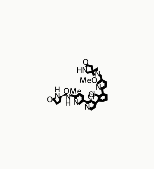 COc1cc(-c2nccc(-c3cccc(-c4ccc(CN5CC6(CNC(=O)C6)C5)c(OC)n4)c3Cl)c2Cl)cnc1CNC[C@H]1CCC(=O)N1